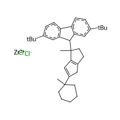 CC1(C2=CC3=C(CCC3(C)C3c4cc(C(C)(C)C)ccc4-c4ccc(C(C)(C)C)cc43)C2)CCCCC1.[Cl-].[Cl-].[Zr+2]